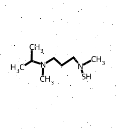 CC(C)N(C)CCCN(C)S